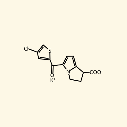 O=C(c1cc(Cl)cs1)c1ccc2n1CCC2C(=O)[O-].[K+]